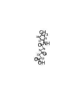 Cc1ccc(NC(=O)CCC(=O)CCC(=O)O)cc1